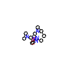 c1ccc(-c2ccc3c4ccccc4n(-c4ccc(-c5cc(-n6c7ccccc7c7ccccc76)cc6c5oc5ccccc56)c(-c5nc(-c6ccccc6)nc(-c6ccccc6)n5)c4)c3c2)cc1